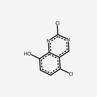 Oc1ccc(Cl)c2cnc(Cl)nc12